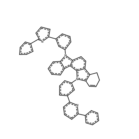 C1=Cc2c(c3ccc4c(c5ccccc5n4-c4cccc(-c5cccc(-c6ccccc6)n5)c4)c3n2-c2cccc(-c3cccc(-c4ccccc4)n3)c2)CC1